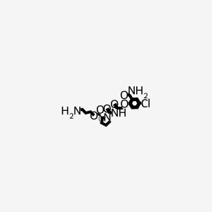 NCCCOC(=O)[C@@H]1CCCN1C(=O)NC(=O)COc1ccc(Cl)cc1C(N)=O